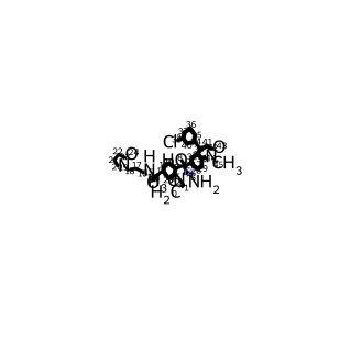 C=CN(C)/C(=C\N)C(O)(c1ccc(C(=O)NCCCN2CCCC2=O)cc1)c1ccc2c(c1)c(-c1cccc(Cl)c1)cc(=O)n2C